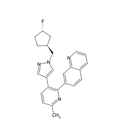 Cc1ccc(-c2cnn(C[C@H]3CC[C@H](F)C3)c2)c(-c2ccc3cccnc3c2)n1